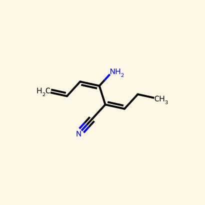 C=C/C=C(N)\C(C#N)=C/CC